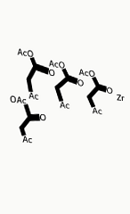 CC(=O)CC(=O)OC(C)=O.CC(=O)CC(=O)OC(C)=O.CC(=O)CC(=O)OC(C)=O.CC(=O)CC(=O)OC(C)=O.[Zr]